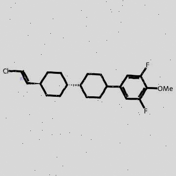 COc1c(F)cc(C2CCC([C@H]3CC[C@H](/C=C/Cl)CC3)CC2)cc1F